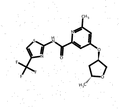 Cc1cc(O[C@H]2CO[C@H](C)C2)cc(C(=O)Nc2nc(C(F)(F)F)cs2)n1